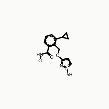 O=C(NCl)c1cccc(C2CC2)c1COc1ccn(S)n1